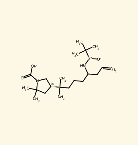 C=CCC(CCCC(C)(C)[C@H]1CN(C(=O)O)C(C)(C)C1)N[S+]([O-])C(C)(C)C